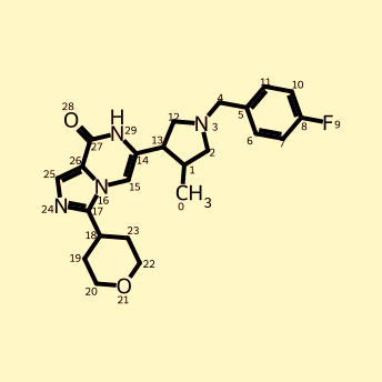 CC1CN(Cc2ccc(F)cc2)CC1c1cn2c(C3CCOCC3)ncc2c(=O)[nH]1